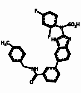 Cc1ccc(CNC(=O)c2cccc(-c3ccc4nc(N(c5ccc(F)cc5F)S(=O)(=O)O)[nH]c4c3)c2)cc1